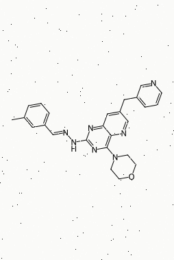 Cc1cccc(C=NNc2nc(N3CCOCC3)c3ncc(Cc4cccnc4)cc3n2)c1